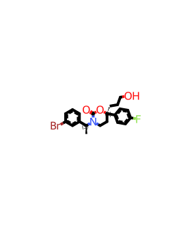 C[C@@H](c1cccc(Br)c1)N1CC[C@](CCCO)(c2ccc(F)cc2)OC1=O